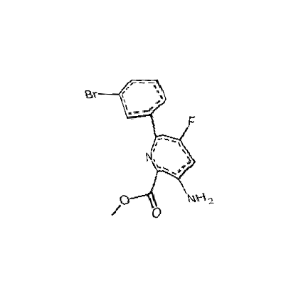 COC(=O)c1nc(-c2cccc(Br)c2)c(F)cc1N